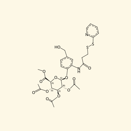 COC(=O)[C@H]1O[C@@H](Oc2ccc(CO)cc2NC(=O)CCSSc2ccccn2)[C@H](OC(C)=O)[C@@H](OC(C)=O)[C@@H]1OC(C)=O